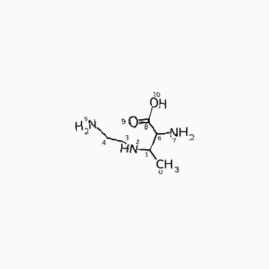 CC(NCCN)C(N)C(=O)O